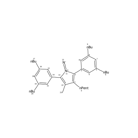 CCCCCC1=C(c2cc(CCCC)cc(CCCC)c2)[N+](=[N-])C(c2cc(CCCC)cc(CCCC)c2)=C1C